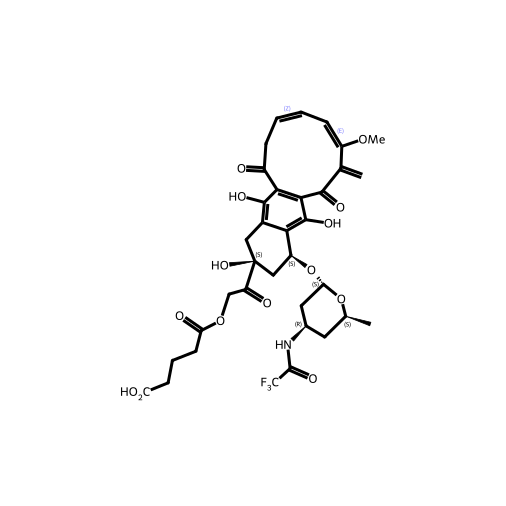 C=C1C(=O)c2c(O)c3c(c(O)c2C(=O)C/C=C\C=C/1OC)C[C@@](O)(C(=O)COC(=O)CCCC(=O)O)C[C@@H]3O[C@H]1C[C@H](NC(=O)C(F)(F)F)C[C@H](C)O1